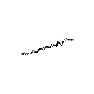 CCCCCOCCOCCOCCOCCCCC